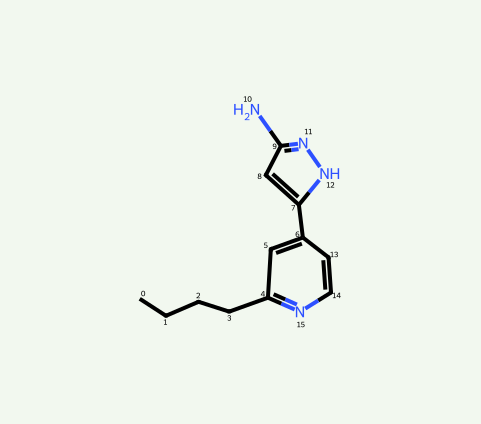 CCCCc1cc(-c2cc(N)n[nH]2)ccn1